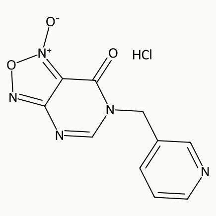 Cl.O=c1c2c(ncn1Cc1cccnc1)no[n+]2[O-]